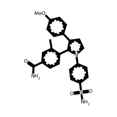 COc1ccc(-c2ccn(-c3ccc(S(N)(=O)=O)cc3)c2-c2ccc(C(N)=O)cc2C)cc1